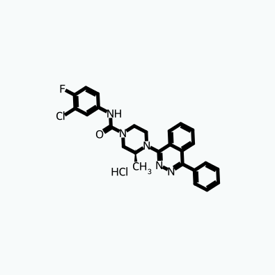 C[C@H]1CN(C(=O)Nc2ccc(F)c(Cl)c2)CCN1c1nnc(-c2ccccc2)c2ccccc12.Cl